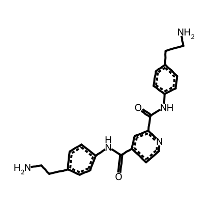 NCCc1ccc(NC(=O)c2ccnc(C(=O)Nc3ccc(CCN)cc3)c2)cc1